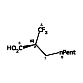 CCCCCC[C@@H](C(=O)O)C(F)(F)F